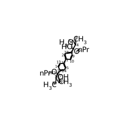 CCCOC(O)(CN(C)C)c1ccc(-c2ccc(C(O)(CN(C)C)OCCC)cc2)cc1